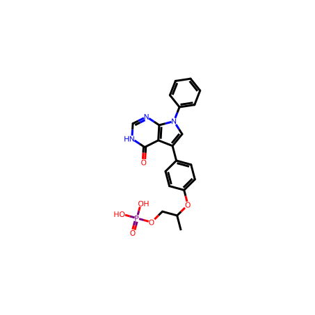 CC(COP(=O)(O)O)Oc1ccc(-c2cn(-c3ccccc3)c3nc[nH]c(=O)c23)cc1